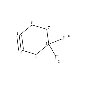 FC1(F)CC#CCC1